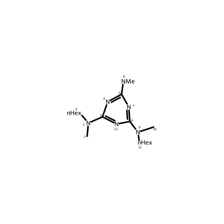 CCCCCCN(C)c1nc(NC)nc(N(C)CCCCCC)n1